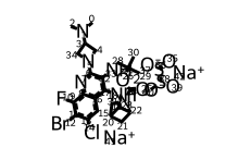 CN(C)C1CN(c2nc3c(F)c(Br)c(Cl)cc3c(NC3C4CC3N(C(=O)OC(C)(C)C)C4)c2N)C1.O=S([O-])S(=O)[O-].[Na+].[Na+]